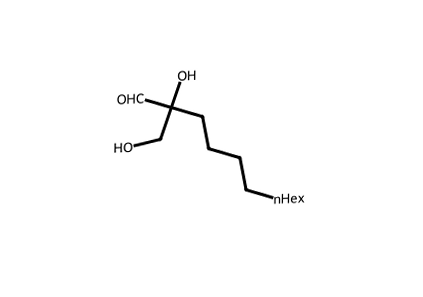 CCCCCCCCCCC(O)(C=O)CO